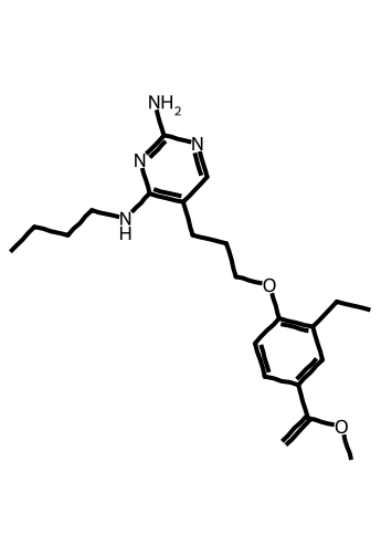 C=C(OC)c1ccc(OCCCc2cnc(N)nc2NCCCC)c(CC)c1